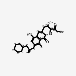 C=C(Cc1cc(C(C)C)c2c(c1C)C(=O)CC(CC(CCC)C(CC)C(=O)CC(C)=O)C2)CC1CCCCC1